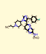 N#CCCN1CCC(n2cnc(-c3ccc(F)cc3)c2-c2ccc3nc(NC=O)cn3n2)CC1